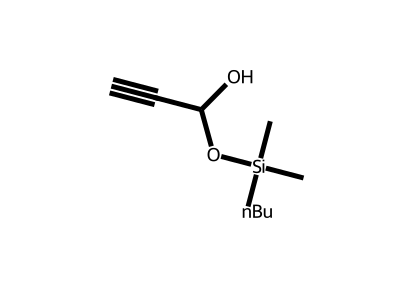 C#CC(O)O[Si](C)(C)CCCC